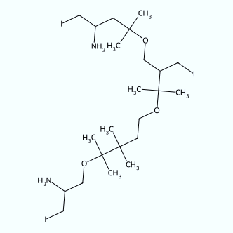 CC(C)(CC(N)CI)OCC(CI)C(C)(C)OCCC(C)(C)C(C)(C)OCC(N)CI